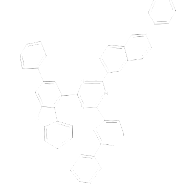 c1ccc(-c2cccc(-c3nc(-c4ccc5cc(-c6ccccc6)ccc5c4)nc(-c4cc(-c5ccccc5)cc5oc6ccccc6c45)n3)c2)cc1